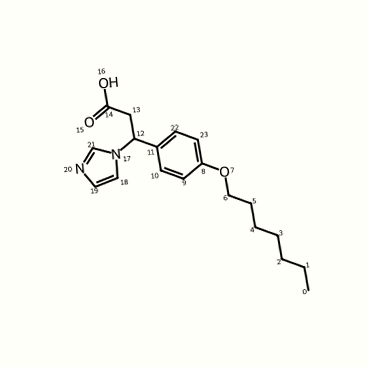 CCCCCCCOc1ccc(C(CC(=O)O)n2ccnc2)cc1